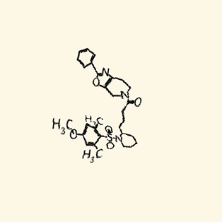 COc1cc(C)c(S(=O)(=O)N2CCCCC2CCCC(=O)N2CCc3nc(-c4ccccc4)oc3C2)c(C)c1